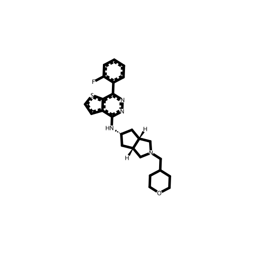 Fc1ccccc1-c1nnc(N[C@@H]2C[C@@H]3CN(CC4CCOCC4)C[C@@H]3C2)c2ccsc12